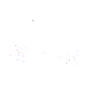 C#CCOCCOCCOCCOCCN(CCOCCCNC(=O)CO[C@H]([C@H](O)CO)[C@@H]1OC(C(=O)O)=C[C@H](NC(=N)N)C1NC(C)=O)CCOCCCNC(=O)CO[C@@H]([C@@H]1OC(C(=O)O)=C[C@H](NC(=N)N)[C@H]1NC(C)=O)[C@H](O)CO